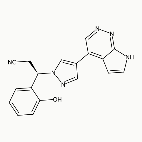 N#CC[C@H](c1ccccc1O)n1cc(-c2cnnc3[nH]ccc23)cn1